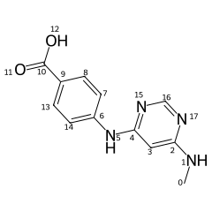 CNc1cc(Nc2ccc(C(=O)O)cc2)ncn1